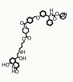 O=C(N[C@@H](c1ccccc1)c1cccc(OCc2ccc(C(=O)N3CCC(C(=O)OCCCCNCC(O)c4ccc(O)c5[nH]c(=O)ccc45)CC3)cc2)c1)OC1CN2CCC1CC2